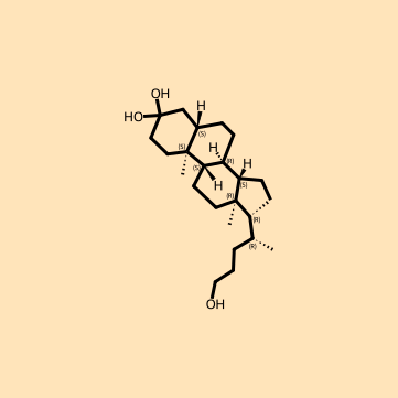 C[C@H](CCCO)[C@H]1CC[C@H]2[C@@H]3CC[C@H]4CC(O)(O)CC[C@]4(C)[C@H]3CC[C@]12C